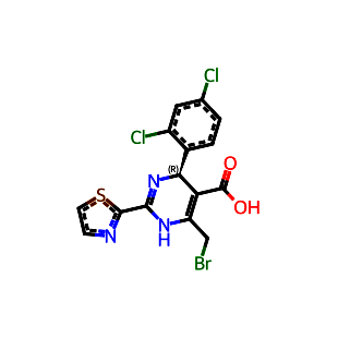 O=C(O)C1=C(CBr)NC(c2nccs2)=N[C@H]1c1ccc(Cl)cc1Cl